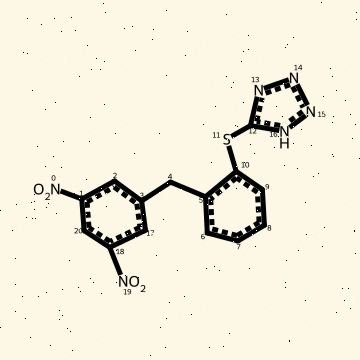 O=[N+]([O-])c1cc(Cc2ccccc2Sc2nnn[nH]2)cc([N+](=O)[O-])c1